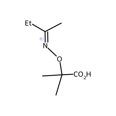 CC/C(C)=N/OC(C)(C)C(=O)O